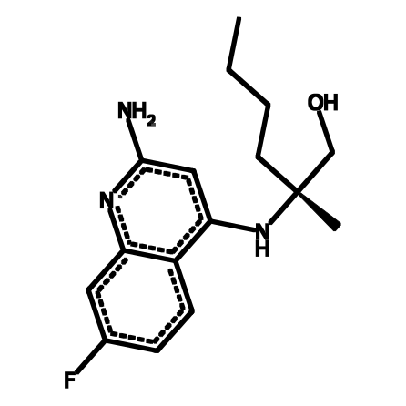 CCCC[C@](C)(CO)Nc1cc(N)nc2cc(F)ccc12